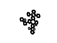 O=c1c2ccccc2oc2cc3c(cc12)c1cc(-c2cccc4c2oc2ccccc24)ccc1c1cc2c(cc1c1cccnc13)n(-c1ccccc1)c1ccccc1n2-c1ccccc1